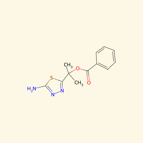 CC(C)(OC(=O)c1ccccc1)c1nnc(N)s1